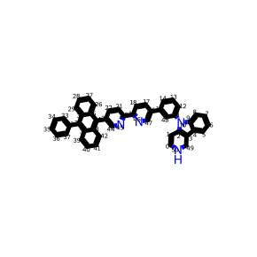 C1=Cc2c(c3ccccc3n2-c2cccc(-c3ccc(-c4ccc(-c5c6ccccc6c(-c6ccccc6)c6ccccc56)cn4)nc3)c2)CN1